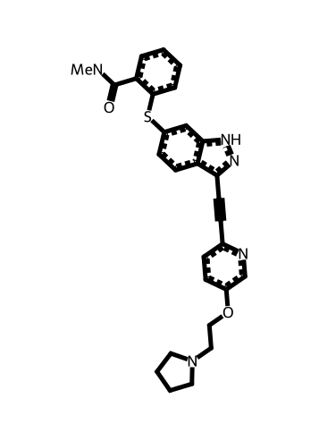 CNC(=O)c1ccccc1Sc1ccc2c(C#Cc3ccc(OCCN4CCCC4)cn3)n[nH]c2c1